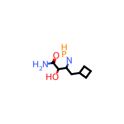 NC(=O)C(O)C(CC1CCC1)N=P